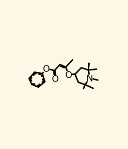 C/C(=C/C(=O)Oc1ccccc1)OC1CC(C)(C)N(C)C(C)(C)C1